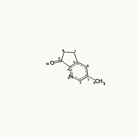 Cc1cnc2c(c1)CCC2=O